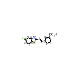 O=C(O)c1cccc(C=Cc2nc3cc(F)ccc3s2)c1